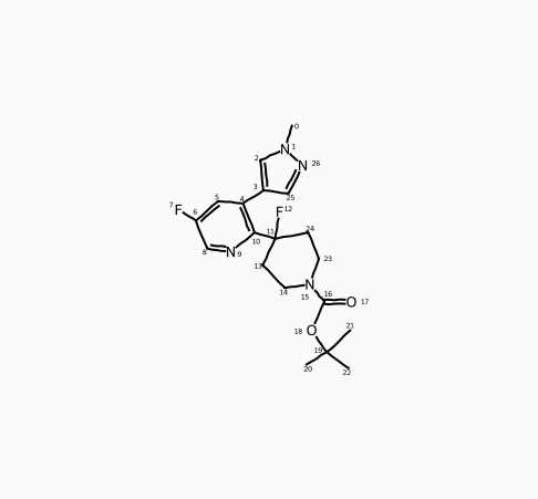 Cn1cc(-c2cc(F)cnc2C2(F)CCN(C(=O)OC(C)(C)C)CC2)cn1